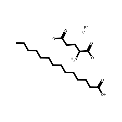 CCCCCCCCCCCCCC(=O)O.NC(CCC(=O)[O-])C(=O)[O-].[K+].[K+]